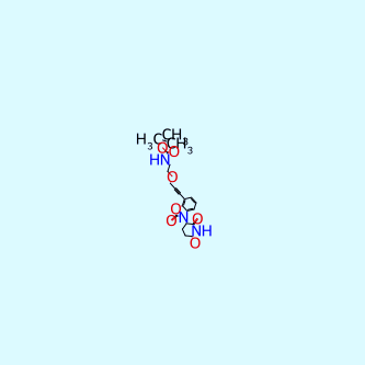 CC(C)(C)OC(=O)NCCOCC#Cc1cccc2c1oc(=O)n2C1CCC(=O)NC1=O